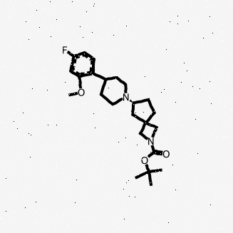 COc1cc(F)ccc1C1CCN([C@@H]2CCC3(C2)CN(C(=O)OC(C)(C)C)C3)CC1